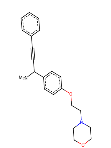 CNC(C#Cc1ccccc1)c1ccc(OCCN2CCOCC2)cc1